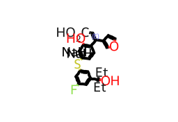 CCC(O)(CC)c1cc(F)cc(Sc2ccc(/C(=C\C(=O)O)c3ccoc3)c(O)c2)c1.[NaH].[NaH]